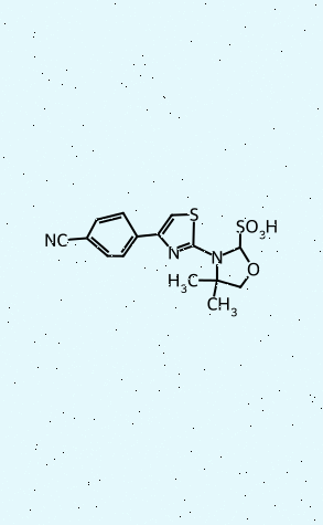 CC1(C)COC(S(=O)(=O)O)N1c1nc(-c2ccc(C#N)cc2)cs1